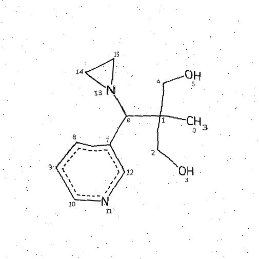 CC(CO)(CO)C(c1cccnc1)N1CC1